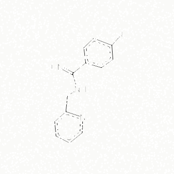 N=C(NCc1ccccn1)c1ccc(I)cc1